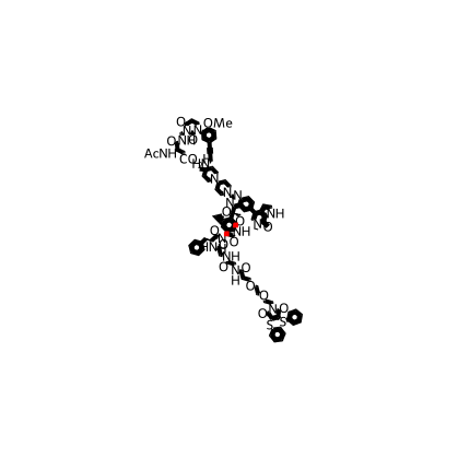 COc1ccc(C#CCNC2(C)CCN(C3CCN(c4nc([C@@](COCNC(=O)CNC(=O)[C@H](Cc5ccccc5)NC(=O)CNC(=O)CNC(=O)CCOCCOCCN5C(=O)C(Sc6ccccc6)=C(Sc6ccccc6)C5=O)(OC5CC5)c5ccccc5)c5cc(-c6cn(C)c(=O)c7[nH]ccc67)ccc5n4)CC3)CC2)cc1N1CCC(=O)N(CNC(=O)[C@H](CC(=O)O)NC(C)=O)C1=O